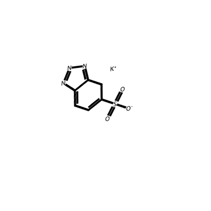 O=S(=O)([O-])C1=CC=C2N=NN=C2C1.[K+]